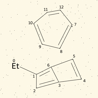 CCc1cc2ccc1-2.[c]1ccccc1